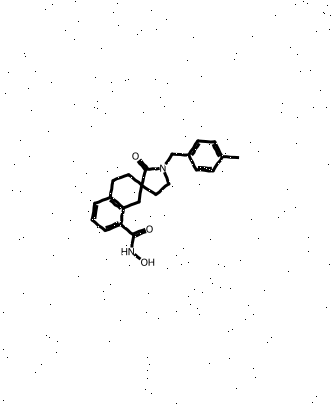 Cc1ccc(CN2CCC3(CCc4cccc(C(=O)NO)c4C3)C2=O)cc1